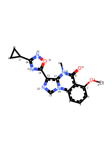 CCOc1cccc2c1c(=O)n(C)c1c(-c3nc(C4CC4)no3)ncn21